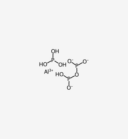 OP(O)O.[Al+3].[O-]P([O-])OP([O-])O